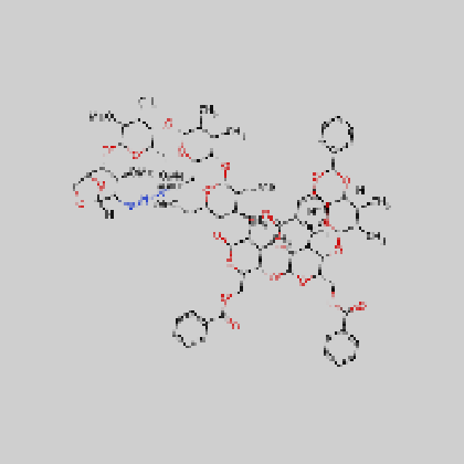 COCC1O[C@@H](O[C@H]2C(C)C(C)[C@@H](O[C@H]3C(C)C(OC)[C@H](O[C@H]4C5CO[C@H](O5)C(N=[N+]=[N-])[C@@H]4OC)O[C@H]3COC)O[C@H]2COC)C(OC)[C@@H](C)[C@@H]1O[C@@H]1OC(COC(=O)c2ccccc2)[C@@H](O[C@@H]2O[C@@H](COC(=O)c3ccccc3)[C@@H](O[C@H]3O[C@H]4COC(c5ccccc5)O[C@H]4C(C)C3C)C(C)C2OC(=O)c2ccccc2)[C@H](C)C1C